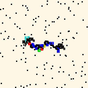 CC1(C)CC(CCCNc2cccc(SNC(=O)c3ccc(-n4ccc(OCC(C)(C)C(F)(F)F)n4)nc3Cl)n2)CN1